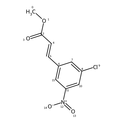 COC(=O)C=Cc1cc(Cl)cc([N+](=O)[O-])c1